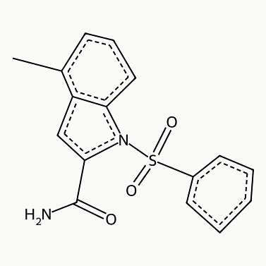 Cc1cccc2c1cc(C(N)=O)n2S(=O)(=O)c1ccccc1